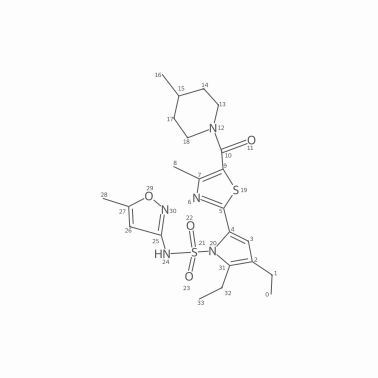 CCc1cc(-c2nc(C)c(C(=O)N3CCC(C)CC3)s2)n(S(=O)(=O)Nc2cc(C)on2)c1CC